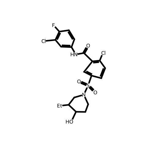 CCC1CN(S(=O)(=O)c2ccc(Cl)c(C(=O)Nc3ccc(F)c(Cl)c3)c2)CCC1O